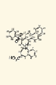 O=C(O)C1=Cc2ccccc2NC=C1.O=S(=O)(C1=c2ccc3c(c2CCC1)CC=c1ccccc1=3)c1ccccc1